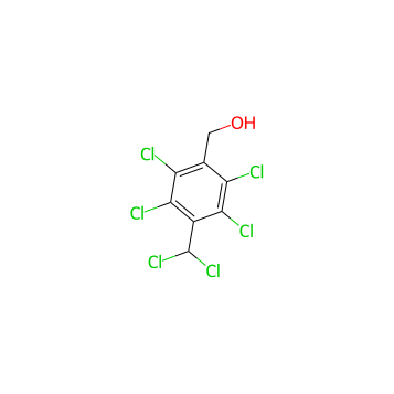 OCc1c(Cl)c(Cl)c(C(Cl)Cl)c(Cl)c1Cl